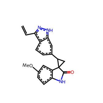 C=Cc1n[nH]c2cc(C3CC34C(=O)Nc3ccc(OC)cc34)ccc12